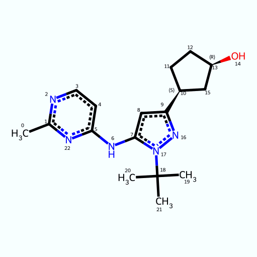 Cc1nccc(Nc2cc([C@H]3CC[C@@H](O)C3)nn2C(C)(C)C)n1